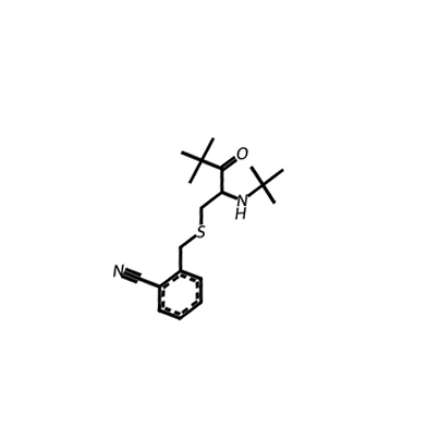 CC(C)(C)NC(CSCc1ccccc1C#N)C(=O)C(C)(C)C